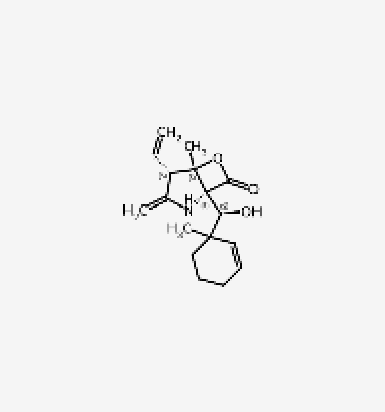 C=C[C@H]1C(=C)N[C@@]2([C@@H](O)C3(C)C=CCCC3)C(=O)O[C@@]12C